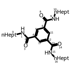 CCCCCCCNC(=O)c1cc(C(=O)NCCCCCCC)cc(C(=O)NCCCCCCC)c1